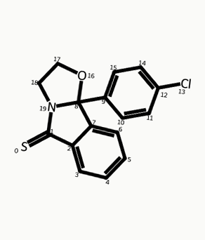 S=C1c2ccccc2C2(c3ccc(Cl)cc3)OCCN12